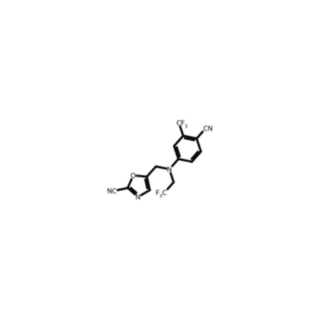 N#Cc1ncc(CN(CC(F)(F)F)c2ccc(C#N)c(C(F)(F)F)c2)o1